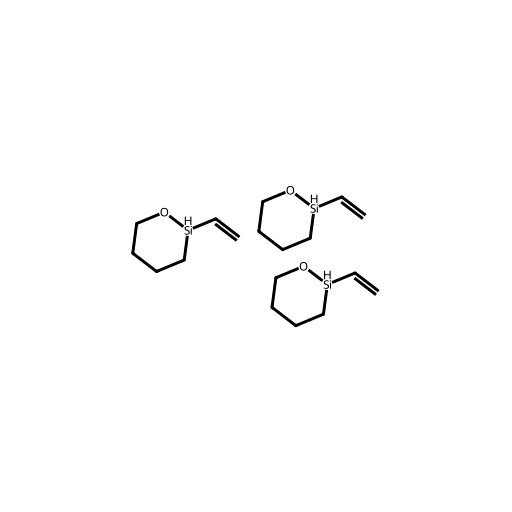 C=C[SiH]1CCCCO1.C=C[SiH]1CCCCO1.C=C[SiH]1CCCCO1